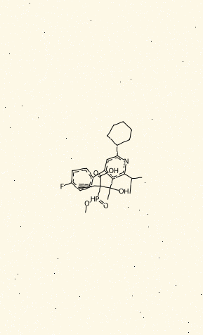 C#CC(C(=O)O)([PH](=O)OC)C(C)(O)c1c(-c2ccc(F)cc2)cc(C2CCCCC2)nc1C(C)C